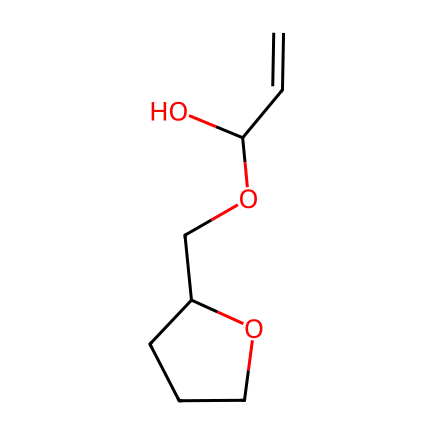 C=CC(O)OCC1CCCO1